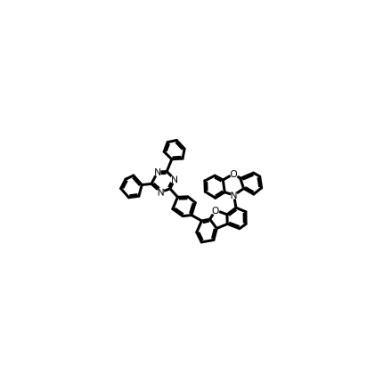 c1ccc(-c2nc(-c3ccccc3)nc(-c3ccc(-c4cccc5c4oc4c(N6c7ccccc7Oc7ccccc76)cccc45)cc3)n2)cc1